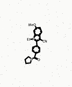 CCn1c(-c2ccc(C(=O)N3CCCC3)cc2)c(C#N)c2ccc(OC)cc21